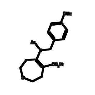 CCOC(=O)C1=C(N(Cc2ccc(OC)cc2)C(C)=O)CCOCC1